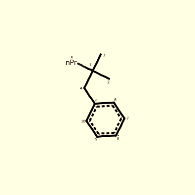 CCCC(C)(C)Cc1cc[c]cc1